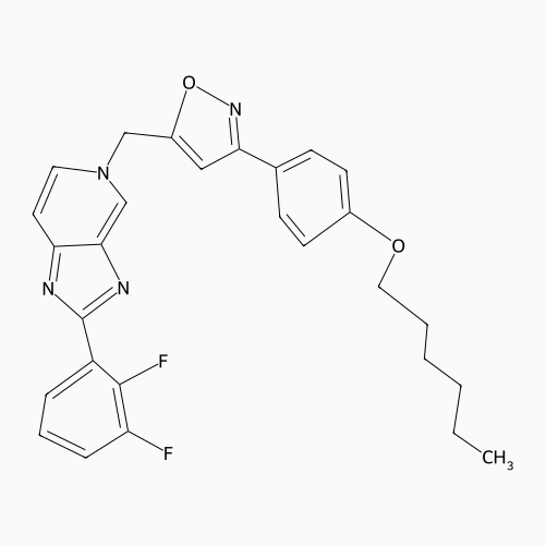 CCCCCCOc1ccc(-c2cc(Cn3ccc4nc(-c5cccc(F)c5F)nc-4c3)on2)cc1